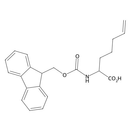 C=CCCCC(NC(=O)OCC1c2ccccc2-c2ccccc21)C(=O)O